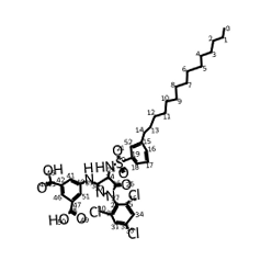 CCCCCCCCCCCCCCCc1cccc(S(=O)(=O)NC2C(=O)N(c3c(Cl)cc(Cl)cc3Cl)N=C2Nc2cc(C(=O)O)cc(C(=O)O)c2)c1